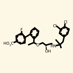 CC(OC[C@H](O)CNC(C)(C)Cc1ccc(Cl)c(Cl)c1)c1ccccc1-c1ccc(C(=O)O)cc1F